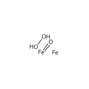 OO.[Fe].[O]=[Fe]